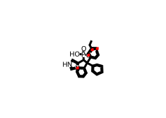 CCC(C)OP(=O)(O)C(c1c[nH]cn1)C(c1ccccc1)(c1ccccc1)c1ccccc1